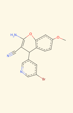 COc1ccc2c(c1)OC(N)=C(C#N)C2c1cncc(Br)c1